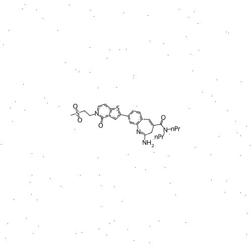 CCCN(CCC)C(=O)C1=Cc2ccc(-c3cc4c(=O)n(CCS(C)(=O)=O)ccc4s3)cc2N=C(N)C1